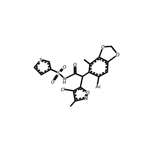 CC(=O)c1cc2c(c(C)c1C(C(=O)NS(=O)(=O)c1ccsc1)c1onc(C)c1Cl)OCO2